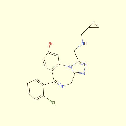 Clc1ccccc1C1=NCc2nnc(CNCC3CC3)n2-c2cc(Br)ccc21